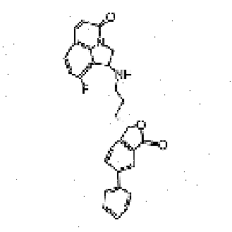 O=C1O[C@@H](CCCN[C@@H]2Cn3c(=O)ccc4ccc(F)c2c43)c2ccc(-c3ccccc3)cc21